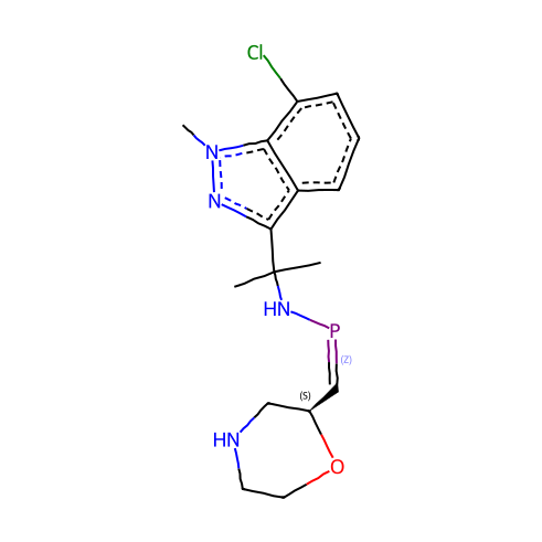 Cn1nc(C(C)(C)N/P=C\[C@@H]2CNCCO2)c2cccc(Cl)c21